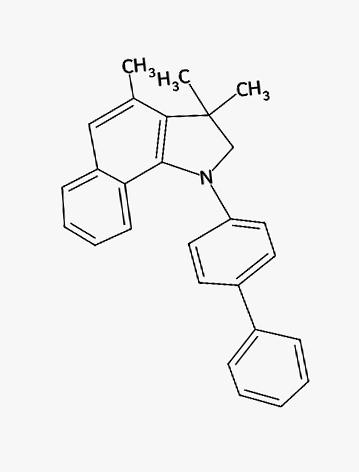 Cc1cc2ccccc2c2c1C(C)(C)CN2c1ccc(-c2ccccc2)cc1